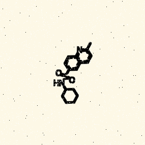 Cc1ccc2cc(S(=O)(=O)NC3CCCCC3)ccc2n1